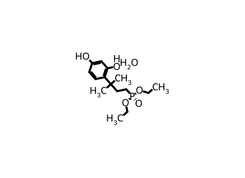 CCOP(=O)(CCC(C)(C)c1ccc(O)cc1O)OCC.O